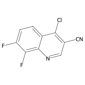 N#Cc1cnc2c(F)c(F)ccc2c1Cl